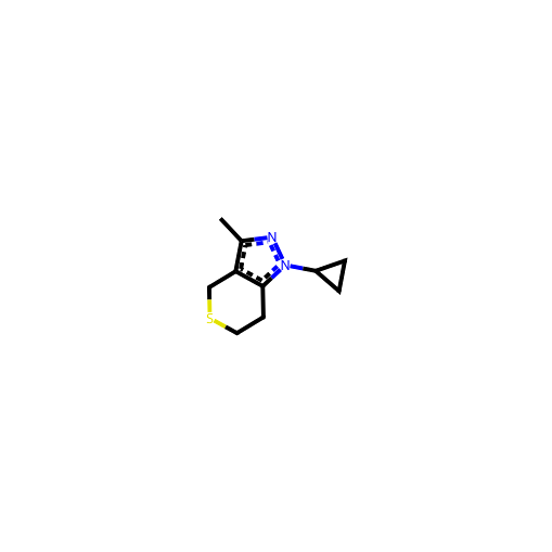 Cc1nn(C2CC2)c2c1CSCC2